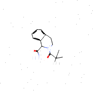 CCCC(C)(C)C(=O)N1CCc2c[c]ccc2C1C(N)=O